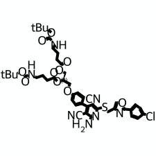 CC(C)(C)OC(=O)NCCCC(=O)OC[C@@H](COc1ccc(-c2c(C#N)c(N)nc(SCc3coc(-c4ccc(Cl)cc4)n3)c2C#N)cc1)OC(=O)CCCNC(=O)OC(C)(C)C